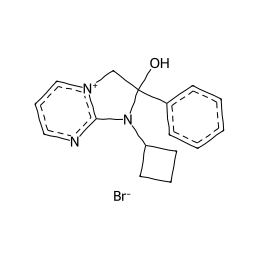 OC1(c2ccccc2)C[n+]2cccnc2N1C1CCC1.[Br-]